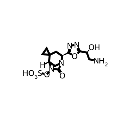 NC[C@@H](O)c1nnc([C@@H]2CC3(CC3)[C@@H]3CN2C(=O)N3OS(=O)(=O)O)o1